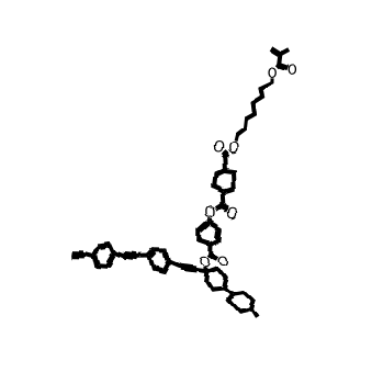 C#Cc1ccc(C#Cc2ccc(C#CC3(OC(=O)c4ccc(OC(=O)C5CCC(C(=O)OCCCCCCCCOC(=O)C(=C)C)CC5)cc4)CCC(C4CCC(C)CC4)CC3)cc2)cc1